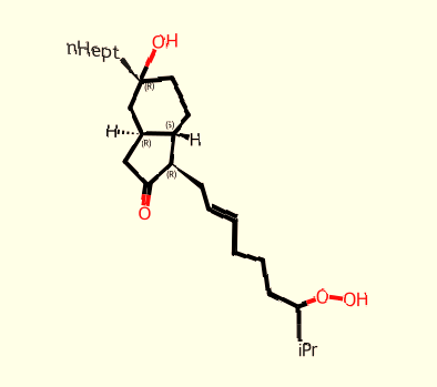 CCCCCCC[C@@]1(O)CC[C@H]2[C@@H](CC(=O)[C@@H]2CC=CCCCC(OO)C(C)C)C1